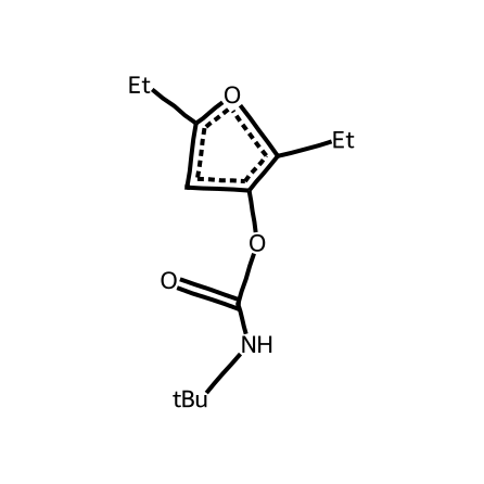 CCc1cc(OC(=O)NC(C)(C)C)c(CC)o1